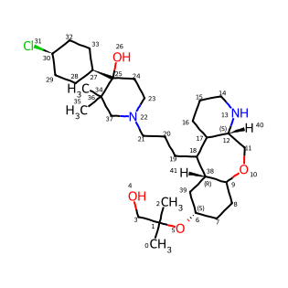 CC(C)(CO)O[C@H]1CCC2OC[C@H]3NCCCC3C(CCCN3CCC(O)([C@H]4CC[C@@H](Cl)CC4)C(C)(C)C3)[C@H]2C1